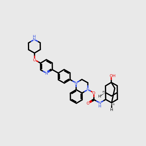 O=C(NC1[C@@H]2CC3C[C@H]1CC(O)(C3)C2)ON1CCN(c2ccc(-c3ccc(OC4CCNCC4)cn3)cc2)c2ccccc21